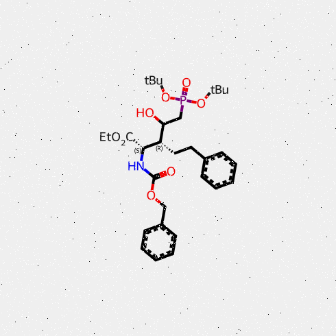 CCOC(=O)[C@@H](NC(=O)OCc1ccccc1)[C@@H](CCc1ccccc1)C(O)CP(=O)(OC(C)(C)C)OC(C)(C)C